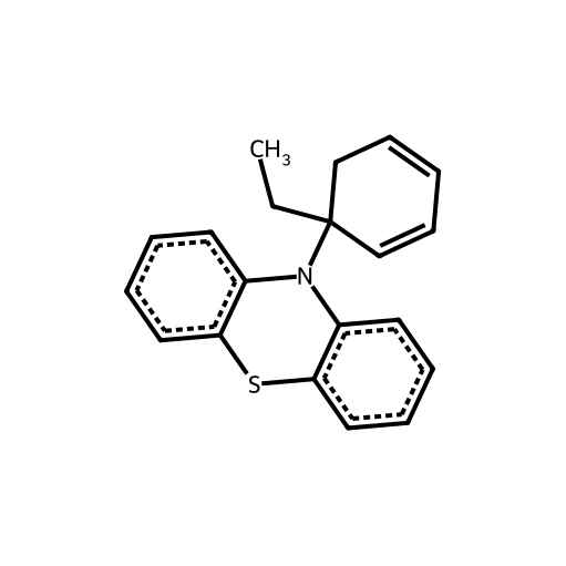 CCC1(N2c3ccccc3Sc3ccccc32)C=CC=CC1